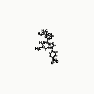 COCC1N(c2ccc([N+](=O)[O-])cc2)C=CN1C(N)C(=O)OC(C)(C)C